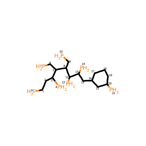 PCCC(P)C(CP)C(CP)C(P)C(P)CC1CCCC(P)C1